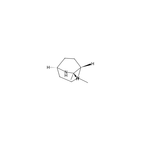 C[C@@H]1N[C@@H]2CC[C@@H]1N(C)CC2